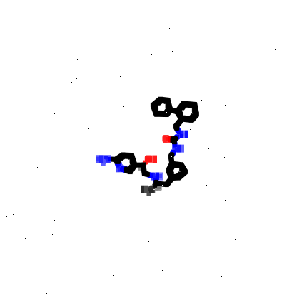 C[C@H](Cc1cccc(CNC(=O)NCc2ccccc2-c2ccccc2)c1)NC[C@@H](O)c1ccc(N)nc1